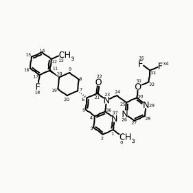 Cc1ccc2cc([C@H]3CC[C@H](c4c(C)cccc4F)CC3)c(=O)n(Cc3nccnc3OCC(F)F)c2n1